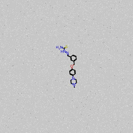 CN1CCN(c2ccc(OCc3cccc(/C=N/NC(N)=S)c3)cc2)CC1